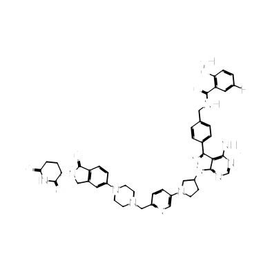 COc1ccc(F)cc1C(=O)NCc1ccc(-c2nn(C3CCN(c4ccc(CN5CCN(c6ccc7c(c6)CN([C@H]6CCC(=O)NC6=O)C7=O)CC5)nc4)C3)c3ncnc(N)c23)cc1